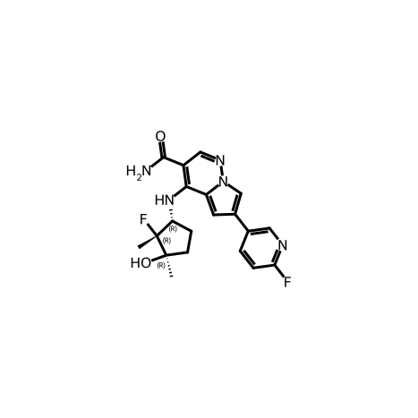 C[C@@]1(O)CC[C@@H](Nc2c(C(N)=O)cnn3cc(-c4ccc(F)nc4)cc23)[C@@]1(C)F